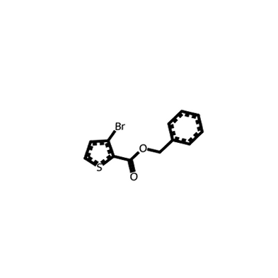 O=C(OCc1ccccc1)c1sccc1Br